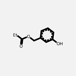 CCC(=O)OCc1cccc(O)c1